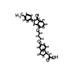 Cc1ccc(N2Cc3c(OCCCOc4ccc5c(c4)CCC5CC(=O)O)cccc3C2=O)cc1